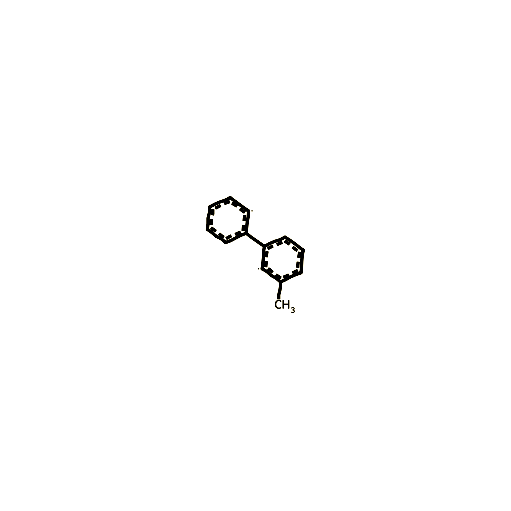 Cc1[c]c(-c2[c]cccc2)ccc1